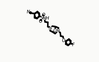 N#Cc1ccc(S(=O)(=O)NCCCN2CC3CN(CCCOc4ccc(F)cc4)CC(C2)O3)cc1